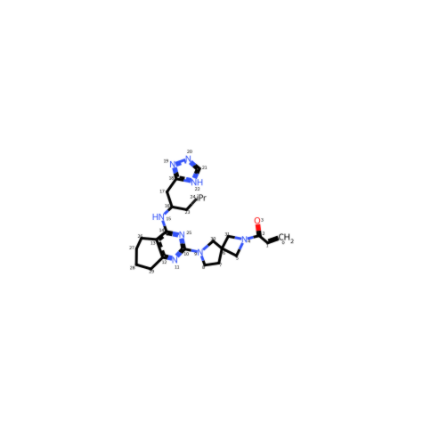 C=CC(=O)N1CC2(CCN(c3nc4c(c(NC(Cc5nnc[nH]5)CC(C)C)n3)CCCC4)C2)C1